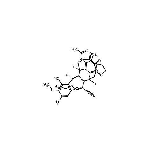 CCN1C[C@]2(C#N)Cc3cc(C)c(OC)c(O)c3[C@H]1C1[C@@H]3SCC(=O)C(=O)OC[C@@H](c4c5c(c(C)c(OC(C)=O)c43)OCO5)N12